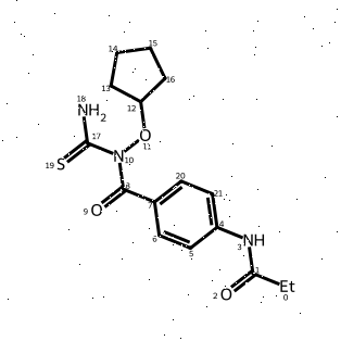 CCC(=O)Nc1ccc(C(=O)N(OC2CCCC2)C(N)=S)cc1